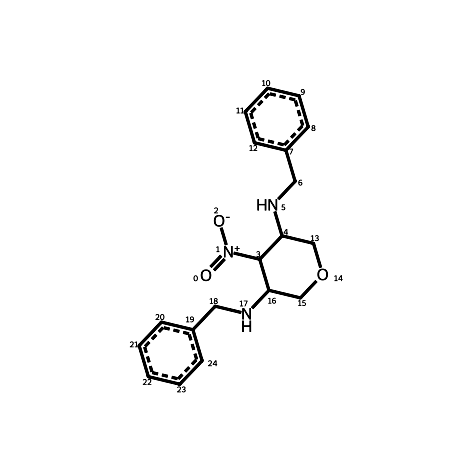 O=[N+]([O-])C1C(NCc2ccccc2)COCC1NCc1ccccc1